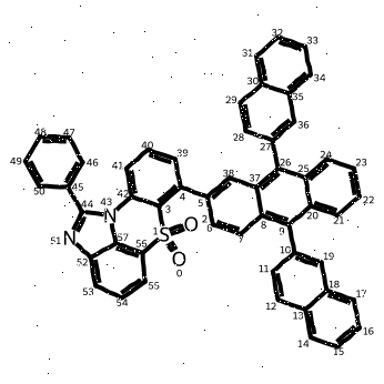 O=S1(=O)c2c(-c3ccc4c(-c5ccc6ccccc6c5)c5ccccc5c(-c5ccc6ccccc6c5)c4c3)cccc2-n2c(-c3ccccc3)nc3cccc1c32